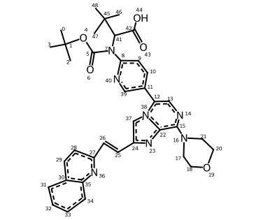 CC(C)(C)OC(=O)N(c1ccc(-c2cnc(N3CCOCC3)c3nc(C=Cc4ccc5ccccc5n4)cn23)cn1)C(C(=O)O)C(C)(C)C